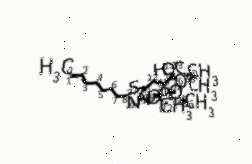 CCCCCCCCc1nnc(CC(C(=O)OC(C)(C)C)P(C)(=O)OCC)s1